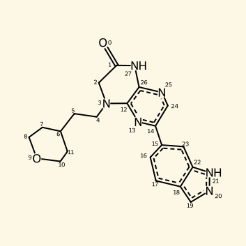 O=C1CN(CCC2CCOCC2)c2nc(-c3ccc4cn[nH]c4c3)cnc2N1